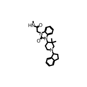 CNC(=O)Cn1c(=O)n(C2CCN(C3CCc4ccccc43)CC2(C)C)c2ccccc21